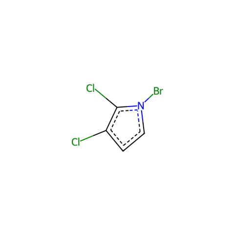 Clc1ccn(Br)c1Cl